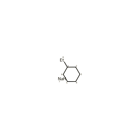 CCC1CCCCC1.[NaH]